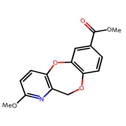 COC(=O)c1ccc2c(c1)Oc1ccc(OC)nc1CO2